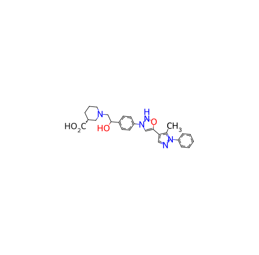 Cc1c(C2=CN(c3ccc(C(O)CN4CCC[C@H](C(=O)O)C4)cc3)NO2)cnn1-c1ccccc1